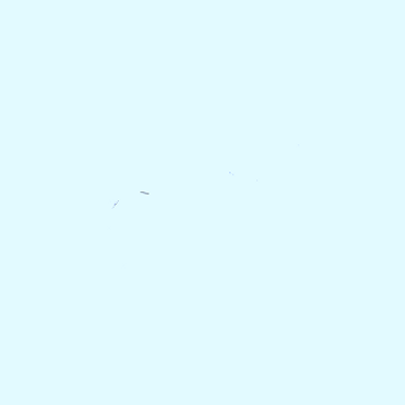 CCCCC/C=C\CC=CCCCCCCCC(CCCCCC)N(C)C